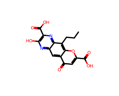 CCCc1c2nc(C(=O)O)c(O)nc2cc2c(=O)cc(C(=O)O)oc12